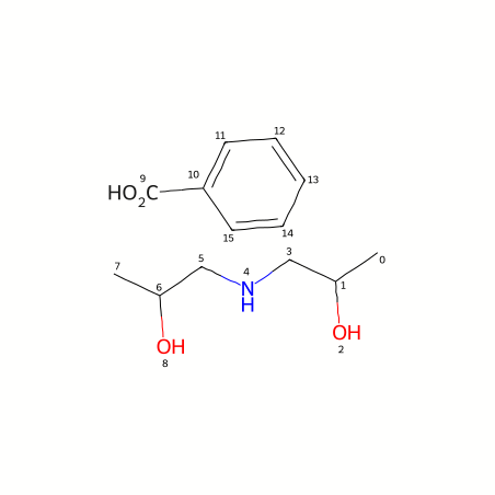 CC(O)CNCC(C)O.O=C(O)c1ccccc1